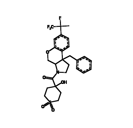 CC(F)(c1ccc2c(c1)OCC1N(C(=O)C3(O)CCS(=O)(=O)CC3)CCC21Cc1ccccc1)C(F)(F)F